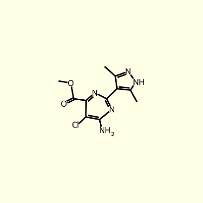 COC(=O)c1nc(-c2c(C)n[nH]c2C)nc(N)c1Cl